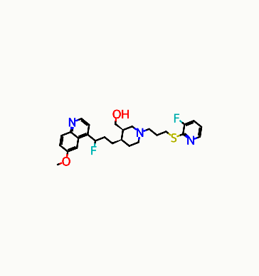 COc1ccc2nccc(C(F)CC[C@@H]3CCN(CCCSc4ncccc4F)C[C@@H]3CO)c2c1